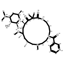 CO[C@]1(C)C[C@@H](C)CN(C)CCN(C(=O)c2cccnc2)CCCOC(=O)C(C)(C)C(=O)[C@H](C)[C@H]1O[C@@H]1O[C@H](C)C[C@H](N(C)C)[C@H]1O